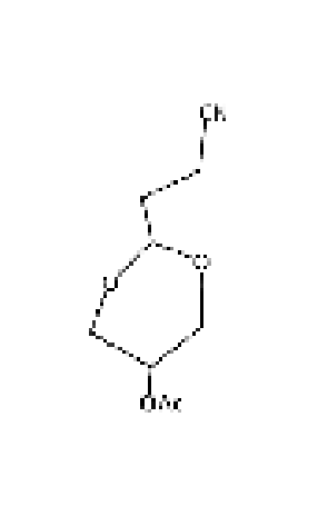 CC(=O)OC1COC(CCC#N)OC1